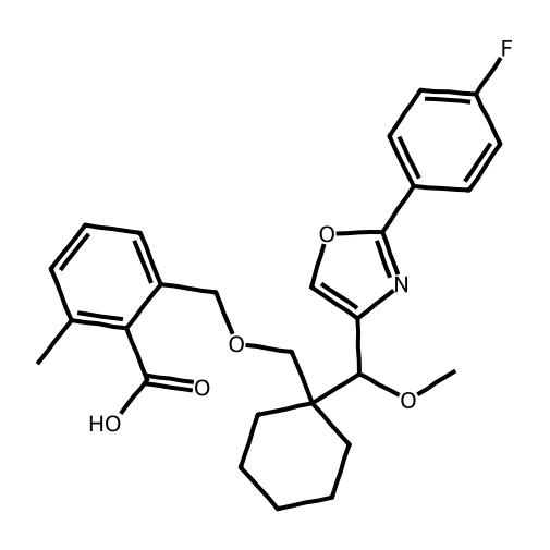 COC(c1coc(-c2ccc(F)cc2)n1)C1(COCc2cccc(C)c2C(=O)O)CCCCC1